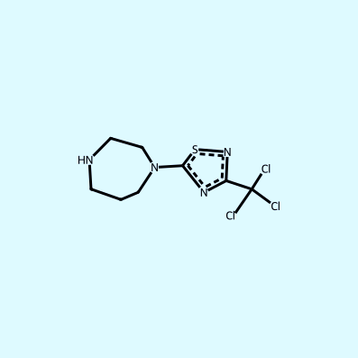 ClC(Cl)(Cl)c1nsc(N2CCCNCC2)n1